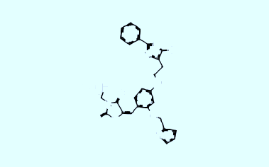 Cc1oc(-c2ccccc2)nc1CCOc1ccc(C=C2SC(=S)N(CC(=O)O)C2=O)c(OCc2cccs2)c1